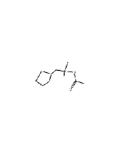 CC(=O)OC(C)(C)CC1CCCC1